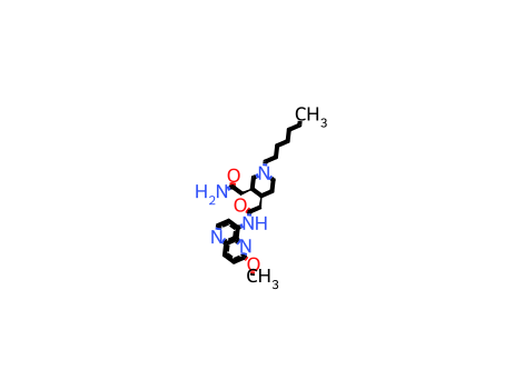 CCCCCCCN1CC[C@@H](CC(=O)Nc2ccnc3ccc(OC)nc23)[C@@H](CC(N)=O)C1